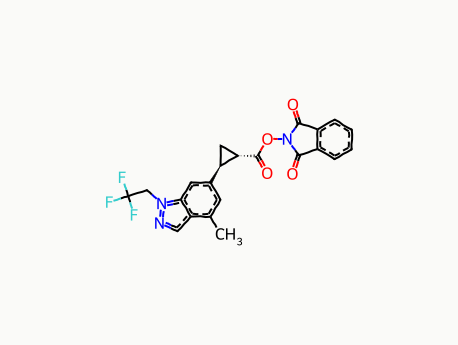 Cc1cc([C@H]2C[C@@H]2C(=O)ON2C(=O)c3ccccc3C2=O)cc2c1cnn2CC(F)(F)F